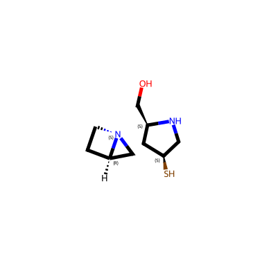 C1C[N@]2C[C@@H]12.OC[C@@H]1C[C@H](S)CN1